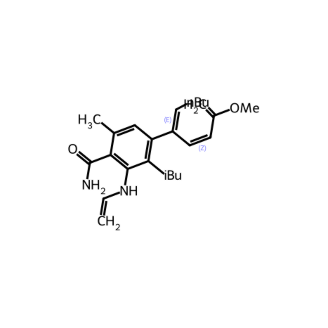 C=CNc1c(C(N)=O)c(C)cc(C(/C=C\C(=C)OC)=C/CCCC)c1C(C)CC